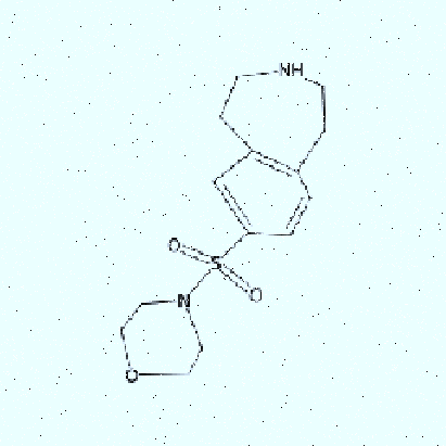 O=S(=O)(c1ccc2c(c1)CCNCC2)N1CCOCC1